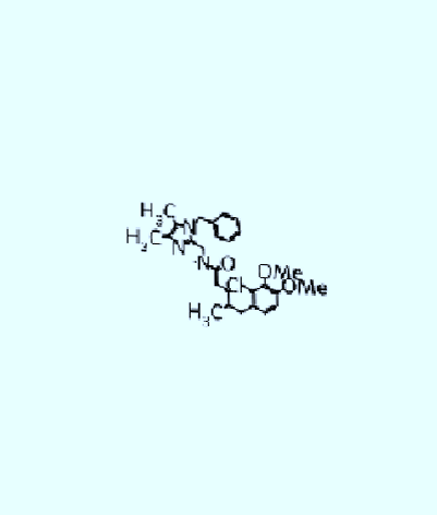 COc1ccc(CC(C)CCC(=O)[N]Cc2nc(C)c(C)n2Cc2ccccc2)c(Cl)c1OC